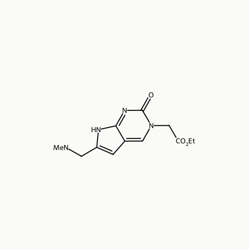 CCOC(=O)Cn1cc2cc(CNC)[nH]c2nc1=O